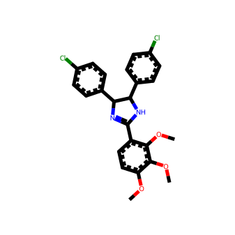 COc1ccc(C2=NC(c3ccc(Cl)cc3)C(c3ccc(Cl)cc3)N2)c(OC)c1OC